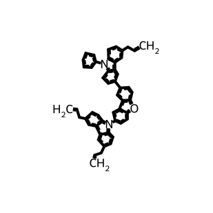 C=CCc1ccc2c(c1)c1cc(CC=C)ccc1n2-c1ccc2oc3ccc(-c4ccc5c(c4)c4cc(CC=C)ccc4n5-c4ccccc4)cc3c2c1